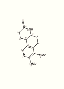 COc1ccc2c(c1OC)CCC1NC(=O)CCC21